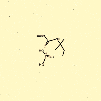 C=CC(=O)NC(C)(C)CC.O=[PH](O)O